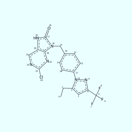 CCc1cc(C(F)(F)F)nn1-c1ccc(Cn2c(=O)[nH]c3cnc(Cl)nc32)cc1